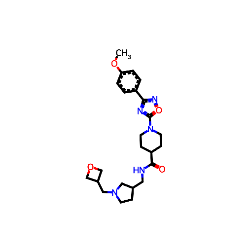 COc1ccc(-c2noc(N3CCC(C(=O)NCC4CCN(CC5COC5)C4)CC3)n2)cc1